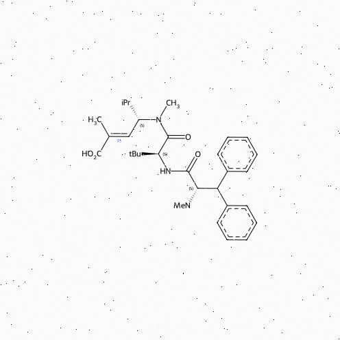 CN[C@H](C(=O)N[C@H](C(=O)N(C)[C@H](/C=C(\C)C(=O)O)C(C)C)C(C)(C)C)C(c1ccccc1)c1ccccc1